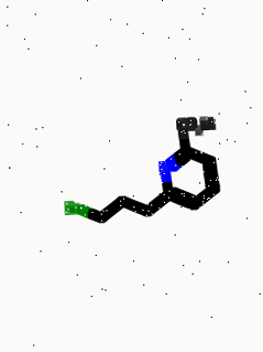 CCOC(=O)c1cccc(CCCBr)n1